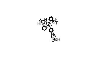 N#CC1(NC(=O)[C@@H]2CCCC[C@H]2c2oc(-c3ccccc3OC(F)F)nc2-c2ccc(N3CCS(O)(O)CC3)cc2)CC1